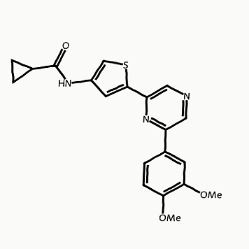 COc1ccc(-c2cncc(-c3cc(NC(=O)C4CC4)cs3)n2)cc1OC